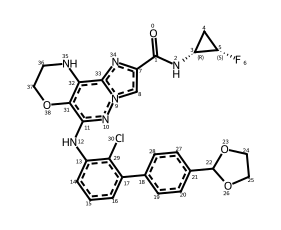 O=C(N[C@@H]1C[C@@H]1F)c1cn2nc(Nc3cccc(-c4ccc(C5OCCO5)cc4)c3Cl)c3c(c2n1)NCCO3